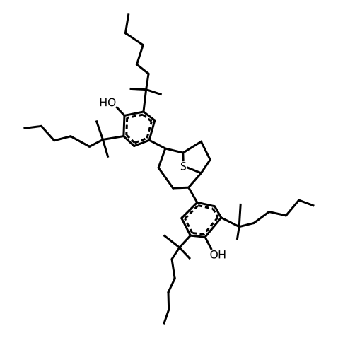 CCCCCC(C)(C)c1cc(C2CCC(c3cc(C(C)(C)CCCCC)c(O)c(C(C)(C)CCCCC)c3)C3CCC2S3)cc(C(C)(C)CCCCC)c1O